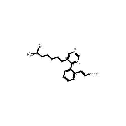 CCCCCCC/C=C/c1ccccc1-c1ncncc1CCCCCC(C)O